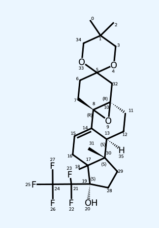 CC1(C)COC2(CC[C@]34O[C@]3(CC[C@@H]3C4=CCC4(C)[C@](O)(C(F)(F)C(F)(F)F)CC[C@@]34C)C2)OC1